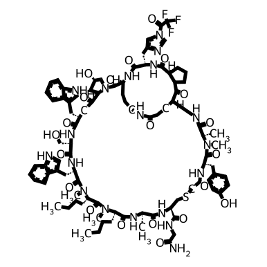 CCCC[C@H]1C(=O)N(C)[C@@H](CCCC)C(=O)N[C@@H](C)C(=O)N[C@H](C(=O)NCC(N)=O)CSCC(=O)N[C@@H](Cc2ccc(O)cc2)C(=O)N(C)[C@@H](C)C(=O)N[C@@H]2CCC(=O)NCCC[C@@H](NC(=O)[C@H](Cc3cn(C(=O)C(F)(F)F)cn3)NC(=O)[C@@H]3CCCC3C2=O)C(=O)N2C[C@H](O)C[C@H]2C(=O)C[C@@H](Cc2c[nH]c3ccccc23)C(=O)N[C@@H](CO)C(=O)N[C@@H](Cc2c[nH]c3ccccc23)C(=O)N1C